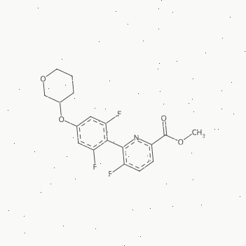 COC(=O)c1ccc(F)c(-c2c(F)cc(OC3CCCOC3)cc2F)n1